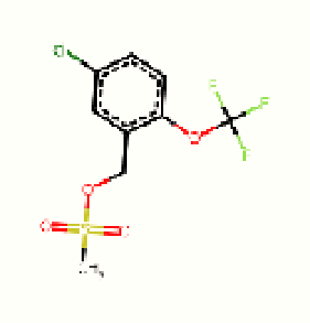 CS(=O)(=O)OCc1cc(Cl)ccc1OC(F)(F)F